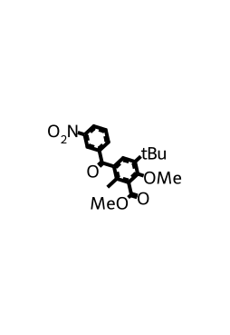 COC(=O)c1c(C)c(C(=O)c2cccc([N+](=O)[O-])c2)cc(C(C)(C)C)c1OC